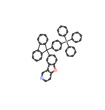 c1ccc([Si](c2ccccc2)(c2ccccc2)c2ccc(C3(c4ccc5oc6ccncc6c5c4)c4ccccc4-c4ccccc43)cc2)cc1